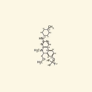 COCCN(C)c1nc(N[C@H]2CC[C@H](C)CC2)ncc1-c1ccc(OC(F)(F)F)cc1